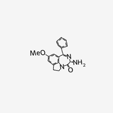 COc1cc2c3c(c1)C(c1ccccc1)=N[C@@H](N)C(=O)N3CC2